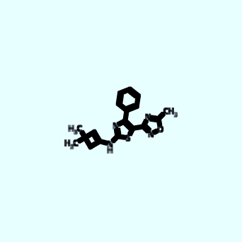 Cc1nc(-c2sc(NC3=CC(C)(C)C3)nc2-c2ccccc2)no1